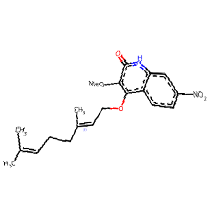 COc1c(OC/C=C(\C)CCC=C(C)C)c2ccc([N+](=O)[O-])cc2[nH]c1=O